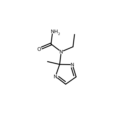 CCN(C(N)=O)C1(C)N=CC=N1